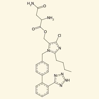 CCCCc1nc(Cl)c(COC(=O)C(N)CC(N)=O)n1Cc1ccc(-c2ccccc2-c2nn[nH]n2)cc1